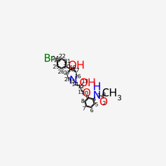 CC(=O)Nc1ccccc1OCC(O)CN1CCC(O)(c2ccc(Br)cc2)CC1